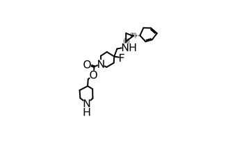 O=C(OCC1CCNCC1)N1CCC(F)(CN[C@H]2C[C@@H]2C2C=CC=CC2)CC1